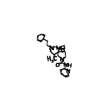 CC1CN(CCc2ccccc2)CCC12CN(C(=O)Nc1ccccn1)CCO2.Cl